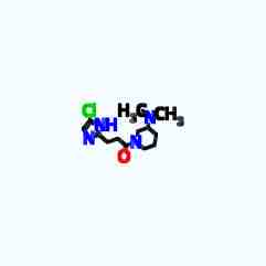 CN(C)C1CCCN(C(=O)CCc2ncc(Cl)[nH]2)C1